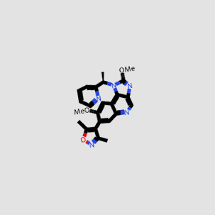 COc1cc2c(cc1-c1c(C)noc1C)ncc1nc(OC)n([C@H](C)c3ccccn3)c12